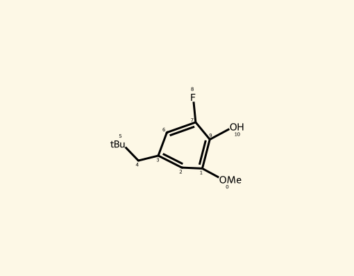 COc1cc(CC(C)(C)C)cc(F)c1O